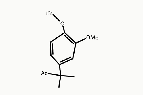 COc1cc(C(C)(C)C(C)=O)ccc1OC(C)C